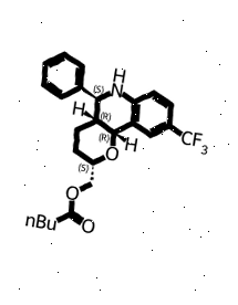 CCCCC(=O)OC[C@@H]1CC[C@@H]2[C@@H](c3ccccc3)Nc3ccc(C(F)(F)F)cc3[C@@H]2O1